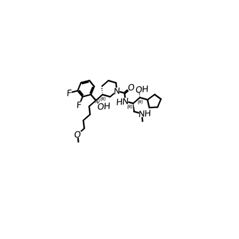 CNC[C@@H](NC(=O)N1CCC[C@@H]([C@@](O)(CCCCOC)c2cccc(F)c2F)C1)[C@H](O)C1CCCC1